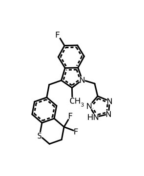 Cc1c(Cc2ccc3c(c2)C(F)(F)CCS3)c2cc(F)ccc2n1Cc1nn[nH]n1